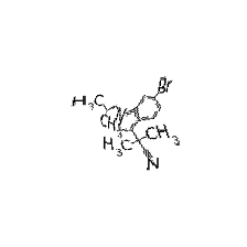 CC(C)Cn1cc(C(C)(C)C#N)c2ccc(Br)cc21